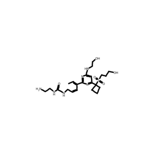 C/C=C(\C=C/CNC(=O)NCCN)c1nc(NCCO)cc(C2(S(=O)(=O)CCCO)CCC2)n1